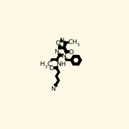 CCC(NC(=O)CCCC#N)c1nc2onc(C)c2c(=O)n1Cc1ccccc1